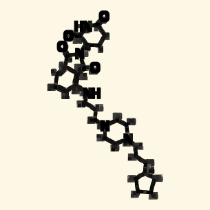 O=C1CCC(N2C(=O)c3cccc(NCCCN4CCN(CCCC5CCCC5)CC4)c3C2=O)C(=O)N1